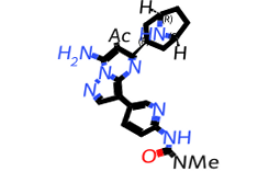 CNC(=O)Nc1ccc(-c2cnn3c(N)c(C(C)=O)c([C@H]4C[C@H]5CC[C@@H](C4)N5)nc23)cn1